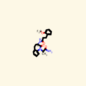 C[C@H](C(N)=O)N1C(=O)[C@H](NC(=O)[CH]Cc2ccccc2OC(F)(F)F)CCc2ccccc21